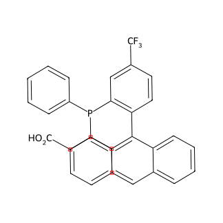 O=C(O)CCc1ccc2ccccc2c1-c1ccc(C(F)(F)F)cc1P(c1ccccc1)c1ccccc1